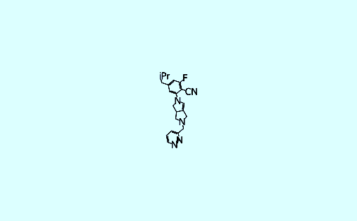 CC(C)Cc1cc(F)c(C#N)c(N2C=C3CN(Cc4cccnn4)CC3C2)c1